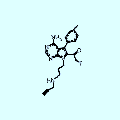 C#CCNCCCn1c(C(=O)CF)c(-c2ccc(C)cc2)c2c(N)ncnc21